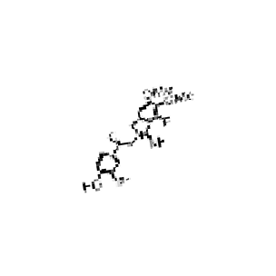 COc1cc2c(c(F)c1OC)C(=N)N(CC(=O)c1ccc(O)c(C(C)C)c1)C2